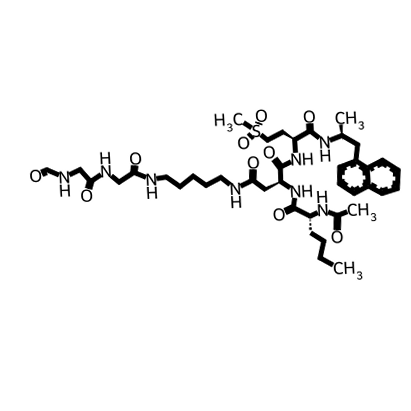 CCCC[C@@H](NC(C)=O)C(=O)N[C@@H](CC(=O)NCCCCCNC(=O)CNC(=O)CNC=O)C(=O)N[C@@H](CCS(C)(=O)=O)C(=O)N[C@@H](C)Cc1cccc2ccccc12